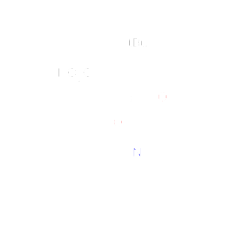 CC(C)(C)C(C(=O)O)C(=O)ON1CCCCC1